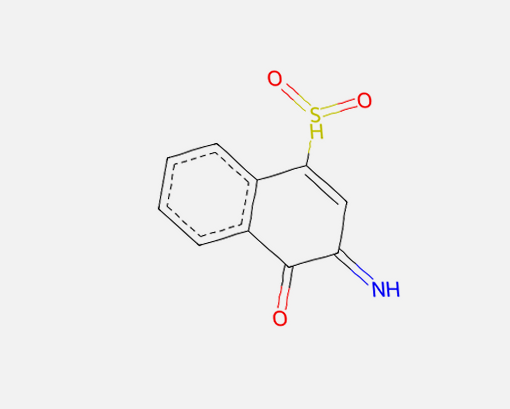 N=C1C=C([SH](=O)=O)c2ccccc2C1=O